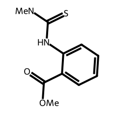 CNC(=S)Nc1ccccc1C(=O)OC